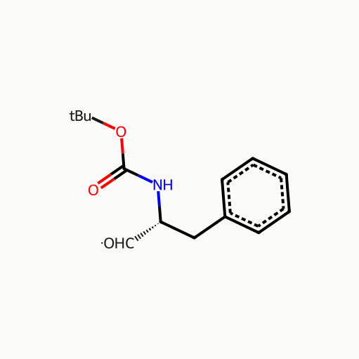 CC(C)(C)OC(=O)N[C@@H]([C]=O)Cc1ccccc1